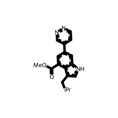 COC(=O)c1cc(-c2ccnnc2)cc2[nH]cc(CC(C)C)c12